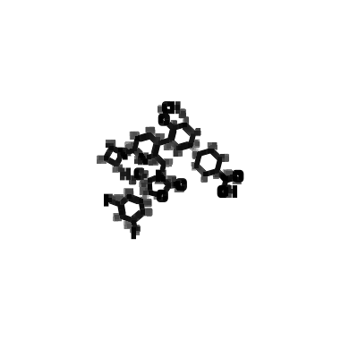 COc1ccc([C@H]2CC[C@H](C(=O)O)CC2)cc1-c1ccc(N2CCC2)nc1CN1C(=O)O[C@H](c2cc(F)cc(F)c2)[C@@H]1C